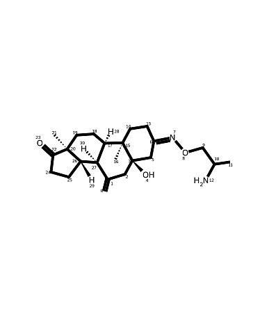 C=C1C[C@@]2(O)CC(=NOCC(C)N)CC[C@]2(C)[C@@H]2CC[C@]3(C)C(=O)CC[C@H]3[C@H]12